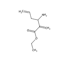 C=CCC(N)C(=C)C(=O)OCC